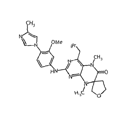 COc1cc(Nc2nc(CC(C)C)c3c(n2)N(C)C2(CCOC2)C(=O)N3C)ccc1-n1cnc(C)c1